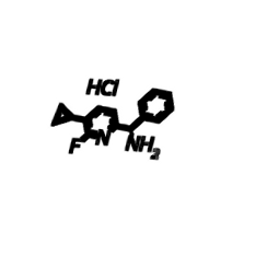 Cl.N[C@@H](c1ccccc1)c1ccc(C2CC2)c(F)n1